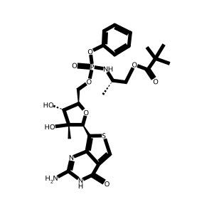 C[C@@H](COC(=O)C(C)(C)C)NP(=O)(OC[C@H]1O[C@@H](c2scc3c(=O)[nH]c(N)nc23)[C@](C)(O)[C@@H]1O)Oc1ccccc1